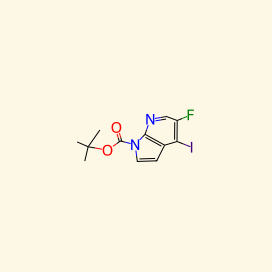 CC(C)(C)OC(=O)n1ccc2c(I)c(F)cnc21